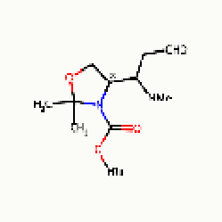 CNC(CC=O)[C@@H]1COC(C)(C)N1C(=O)OC(C)(C)C